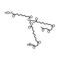 CCCCCCCCC1OC1CCCCCCCC(=O)OC(COC(=O)CCCCCCCCC1OC1CC1OC1CCCC)COC(=O)CCCCCCCCC1OC1CC1OC1CC1OC1C